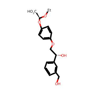 CCO[C@@H](Oc1ccc(OC[C@H](O)c2cccc(CO)c2)cc1)C(=O)O